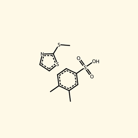 CSc1nccs1.Cc1ccc(S(=O)(=O)O)cc1C